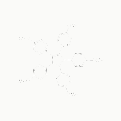 COc1ccc(C2=C(c3ccc(OC)cc3)C(c3ccc(OC)cc3)C(c3ccc(OC)cc3)=C2c2ccc(OC)cc2)cc1